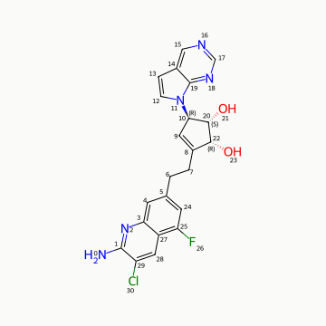 Nc1nc2cc(CCC3=C[C@@H](n4ccc5cncnc54)[C@H](O)[C@@H]3O)cc(F)c2cc1Cl